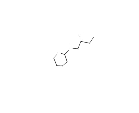 O[C@H](CF)COC1CCCCO1